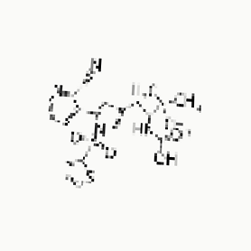 CC(C)(C)C(Cc1cc(-c2cccnc2C#N)n(S(=O)(=O)c2cccs2)c1)NC(=O)O